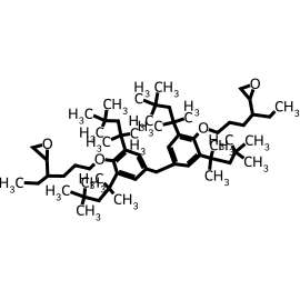 CCC(CCCOc1c(C(C)(C)CC(C)(C)C)cc(Cc2cc(C(C)(C)CC(C)(C)C)c(OCCCC(CC)C3CO3)c(C(C)(C)CC(C)(C)C)c2)cc1C(C)(C)CC(C)(C)C)C1CO1